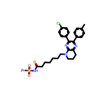 Cc1ccc(-c2nc3c(nc2-c2ccc(Cl)cc2)N(CCCCCCC(=O)NS(=O)(=O)C(C)C)CCC3)cc1